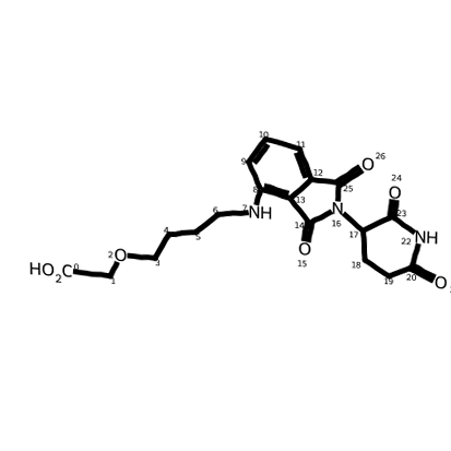 O=C(O)COCCCCNc1cccc2c1C(=O)N(C1CCC(=O)NC1=O)C2=O